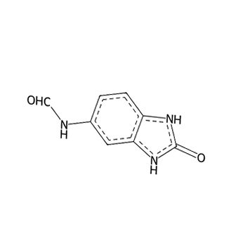 O=CNc1ccc2[nH]c(=O)[nH]c2c1